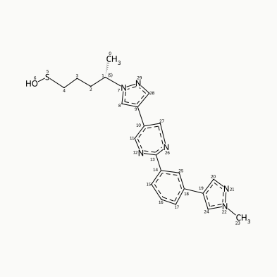 C[C@@H](CCCSO)n1cc(-c2cnc(-c3cccc(-c4cnn(C)c4)c3)nc2)cn1